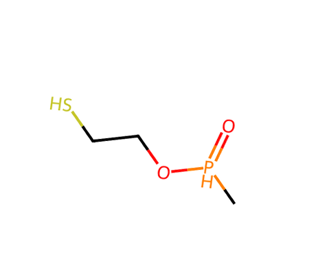 C[PH](=O)OCCS